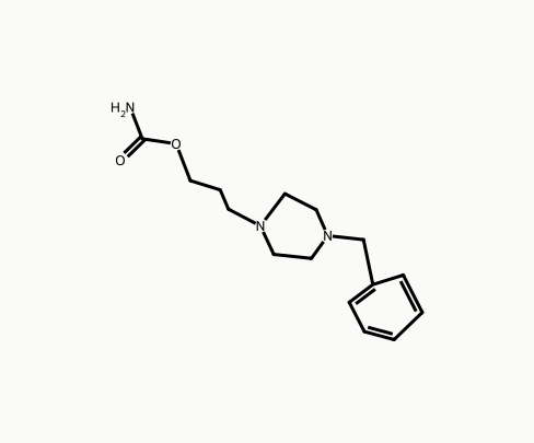 NC(=O)OCCCN1CCN(Cc2ccccc2)CC1